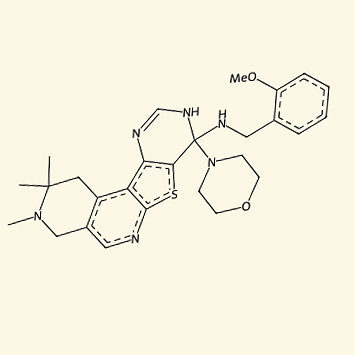 COc1ccccc1CNC1(N2CCOCC2)NC=Nc2c1sc1ncc3c(c21)CC(C)(C)N(C)C3